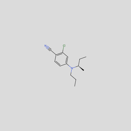 CCCN(c1ccc(C#N)c(Cl)c1)[C@H](C)CC